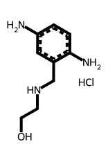 Cl.Nc1ccc(N)c(CNCCO)c1